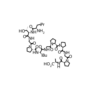 CC[C@H](C)[C@H](NC(=O)[C@@H]1CCCN1C(=O)CNC(=O)[C@@H](NC(=O)[C@@H](N)CC(C)C)[C@@H](C)O)C(=O)NCC(=O)N1CCC[C@H]1C(=O)N1CCC[C@H]1C(=O)NCC(=O)N1CCC[C@H]1C(=O)N[C@@H](C)C(=O)O